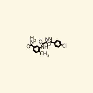 Cc1ccc(C(N)=O)cc1NC(=O)c1nnc(-c2ccc(Cl)cc2)o1